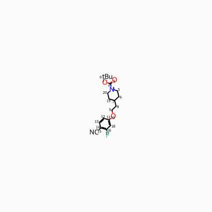 CC(C)(C)OC(=O)N1CCC(CCOc2ccc(C#N)c(F)c2)CC1